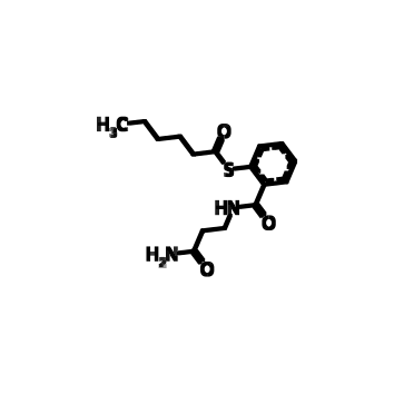 CCCCCC(=O)Sc1ccccc1C(=O)NCCC(N)=O